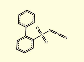 [N-]=[N+]=NS(=O)(=O)c1ccccc1-c1ccccc1